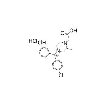 CC1CN([C@H](c2ccccc2)c2ccc(Cl)cc2)CCN1CC(=O)O.Cl.Cl